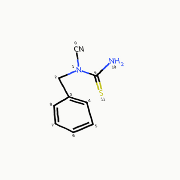 N#CN(Cc1ccccc1)C(N)=S